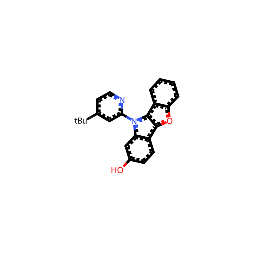 CC(C)(C)c1ccnc(-n2c3cc(O)ccc3c3oc4ccccc4c32)c1